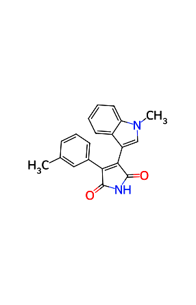 Cc1cccc(C2=C(c3cn(C)c4ccccc34)C(=O)NC2=O)c1